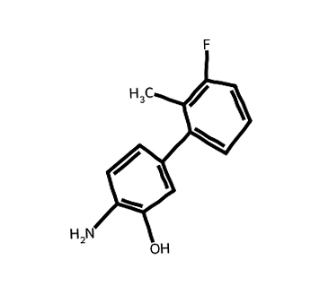 Cc1c(F)cccc1-c1ccc(N)c(O)c1